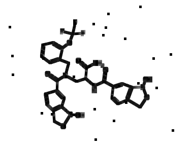 NC(=O)C(CN(Cc1ccccc1OC(F)(F)F)C(=O)c1ccc2c(c1)B(O)OC2)NC(=O)c1ccc2c(c1)B(O)OC2